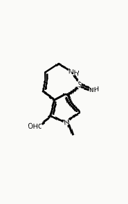 Cn1cc2c(c1C=O)C=CCNS2=N